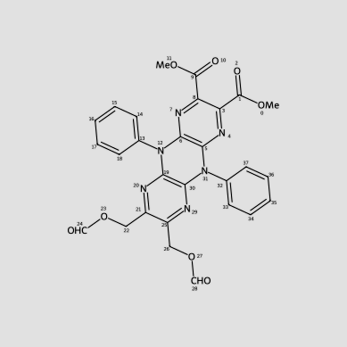 COC(=O)c1nc2c(nc1C(=O)OC)N(c1ccccc1)c1nc(COC=O)c(COC=O)nc1N2c1ccccc1